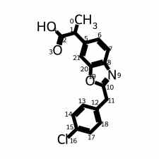 CC(C(=O)O)c1ccc2nc(Cc3ccc(Cl)cc3)oc2c1